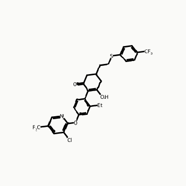 CCc1cc(Oc2ncc(C(F)(F)F)cc2Cl)ccc1C1=C(O)CC(CCSc2ccc(C(F)(F)F)cc2)CC1=O